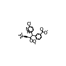 COC(=O)c1ccc(OC)c(C(C(=O)C#C[Si](C)(C)C)c2ccc(Cl)nn2)c1